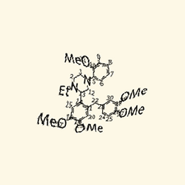 CCN1CCN(c2ccccc2OC)CC1c1cc(OC)c(OC)cc1Cc1ccc(OC)c(OC)c1